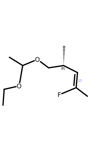 CCOC(C)OC[C@H](C)/C=C(/C)F